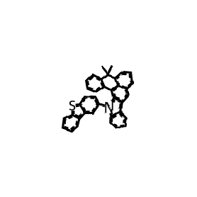 CC1(C)c2ccccc2-c2c3c1cccc3cc1c3ccccc3n(-c3ccc4sc5ccccc5c4c3)c21